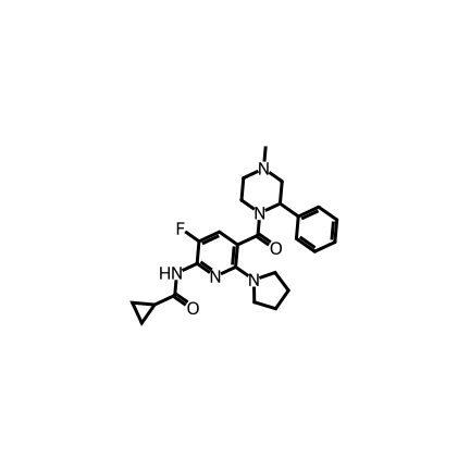 CN1CCN(C(=O)c2cc(F)c(NC(=O)C3CC3)nc2N2CCCC2)C(c2ccccc2)C1